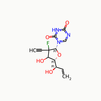 C#CC1(F)C(O)[C@@H]([C@H](O)C=C)O[C@H]1n1cnc(=O)[nH]c1=O